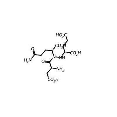 NC(=O)CC[C@@H](C(=O)O)N(N[C@@H](CCC(=O)O)C(=O)O)C(=O)[C@@H](N)CC(=O)O